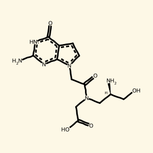 Nc1nc2c(ccn2CC(=O)N(CC(=O)O)C[C@@H](N)CO)c(=O)[nH]1